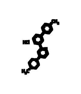 Cc1ccc(-c2cccc(-c3cc(N4CCN(C)CC4)ccn3)c2)cc1.Cl